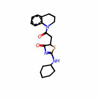 O=C1N=C(NC2CCCCC2)SC1CC(=O)N1CCCc2ccccc21